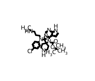 CNCCCN(C(=O)C1(N(C(=O)OC(C)(C)C)c2ncnc3[nH]ccc23)CCNCC1)c1ccc(Cl)cc1